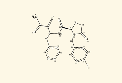 NC(=O)C(=O)C(Cc1ccccc1)NC(=O)[C@H]1CCC(=O)N1Cc1ccc(F)cc1